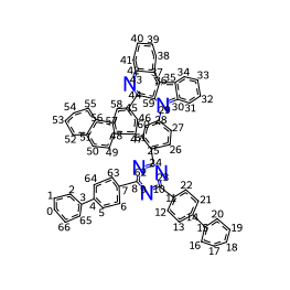 c1ccc(-c2ccc(-c3nc(-c4ccc(-c5ccccc5)cc4)nc(-c4ccc(-n5c6ccccc6c6c7ccccc7nc(-c7ccc8ccc9ccccc9c8c7)c65)cc4)n3)cc2)cc1